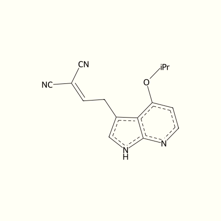 CC(C)Oc1ccnc2[nH]cc(CC=C(C#N)C#N)c12